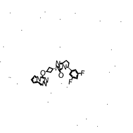 O=c1n2c(nn1[C@H]1C[C@H](Oc3nncc4cccn34)C1)CC[C@H]2c1cc(F)cc(F)c1